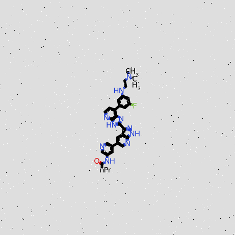 CCCC(=O)Nc1cncc(-c2cnc3[nH]nc(-c4nc5c(-c6cc(F)cc(NCCN(C)C)c6)ccnc5[nH]4)c3c2)c1